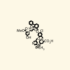 COC(=O)[C@@H]1C[C@@H](O)CN1CCCOC1(COc2cc(OCc3cncc(S(C)(=O)=O)c3)c(CN3CCCC[C@H]3C(=O)O)cc2Cl)C=CC=C(c2ccccc2)C1(C)Cl